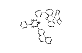 C1=CCC2Oc3c(-c4cccc(C5N=C(c6ccccc6)N=C(c6ccc7c(ccc8ccccc87)c6)N5)c4)cccc3C3(C2=C1)c1ccccc1-c1ccccc13